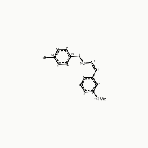 COc1cccc(/[C]=N\OCc2ccc(F)cc2)c1